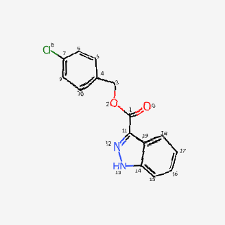 O=C(OCc1ccc(Cl)cc1)c1n[nH]c2ccccc12